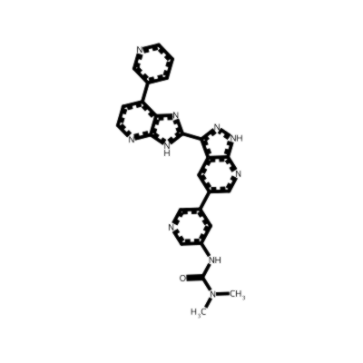 CN(C)C(=O)Nc1cncc(-c2cnc3[nH]nc(-c4nc5c(-c6cccnc6)ccnc5[nH]4)c3c2)c1